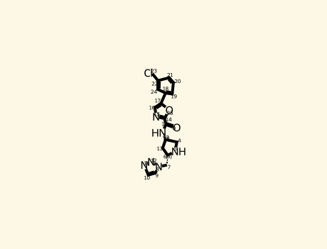 O=C(N[C@H]1CN[C@H](Cn2ccnn2)C1)c1ncc(-c2cccc(Cl)c2)o1